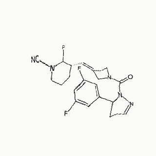 N#CN1CCC[C@@H](C=C2CN(C(=O)N3N=CCC3c3cc(F)cc(F)c3)C2)C1F